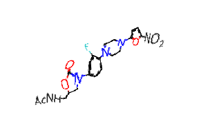 CC(=O)NCC1CN(c2ccc(N3CCN(c4ccc([N+](=O)[O-])o4)CC3)c(F)c2)C(=O)O1